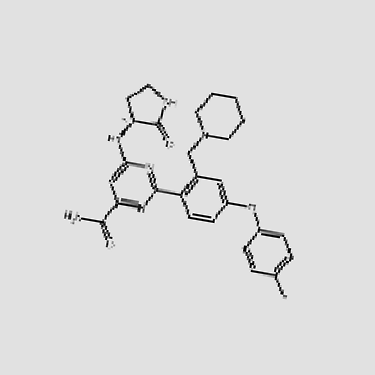 NC(=O)c1cc(N[C@H]2CCNC2=O)nc(-c2ccc(Oc3ccc(F)cc3)cc2CN2CCCCC2)n1